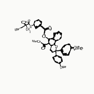 COC(=O)c1c2c(c3ccccc3c1OC(=O)c1cccc(OC(=O)C(C)(C)Br)c1)OC(c1ccc(OC)cc1)(c1ccc(OC)cc1)C=C2